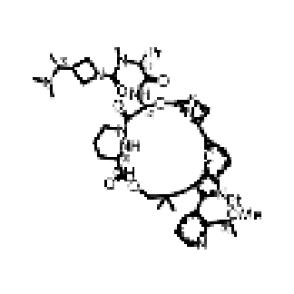 CCn1c(-c2cccnc2[C@H](C)OC)c2c3cc(ccc31)-c1csc(n1)C[C@H](NC(=O)[C@H](C(C)C)N(C)C(=O)N1CC([C@H](C)N(C)C)C1)C(=O)N1CCC[C@@](O)(N1)C(=O)OCC(C)(C)C2